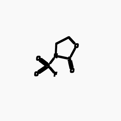 O=S1OCCN1S(=O)(=O)F